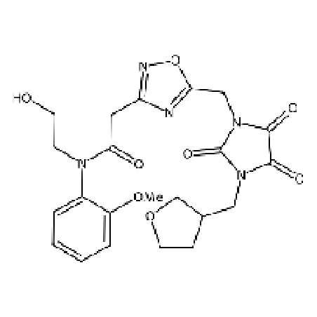 COc1ccccc1N(CCO)C(=O)Cc1noc(CN2C(=O)C(=O)N(CC3CCOC3)C2=O)n1